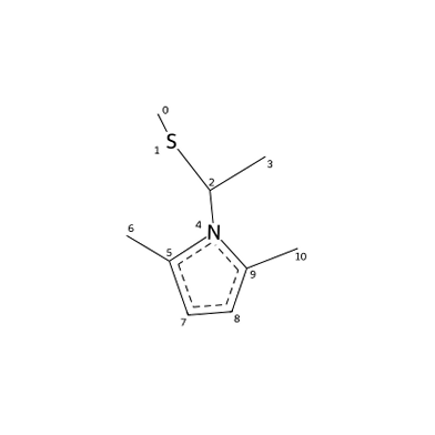 CSC(C)n1c(C)ccc1C